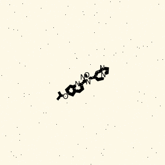 CC(C)Oc1ccc2nc(-c3noc(-c4ccn5ccnc5c4)n3)ccc2c1